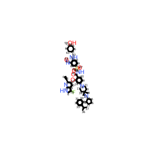 C#Cc1nc2[nH]cc(F)c2cc1Oc1cc(N2CCC3(CC2)CN([C@@H]2CCC[C@@H]2c2ccccc2C(C)C)C3)ccc1C(=O)NS(=O)(=O)c1ccc(NC[C@H]2CC[C@](C)(O)CC2)c(N=O)c1